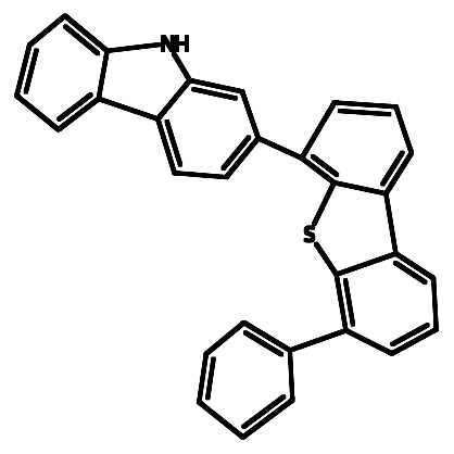 c1ccc(-c2cccc3c2sc2c(-c4ccc5c(c4)[nH]c4ccccc45)cccc23)cc1